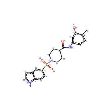 Cc1ccc(NC(=O)C2CCN(S(=O)(=O)c3ccc4[nH]ccc4c3)CC2)cc1O